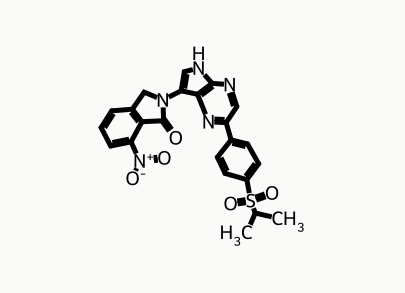 CC(C)S(=O)(=O)c1ccc(-c2cnc3[nH]cc(N4Cc5cccc([N+](=O)[O-])c5C4=O)c3n2)cc1